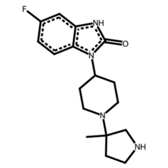 CC1(N2CCC(n3c(=O)[nH]c4cc(F)ccc43)CC2)CCNC1